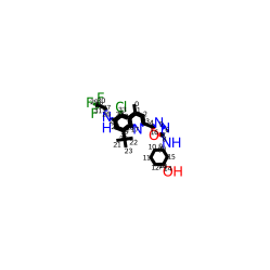 Cc1cc(-c2nnc(N[C@H]3CCC[C@@H](O)C3)o2)nc2c(C(C)(C)C)cc(NCC(F)(F)F)c(Cl)c12